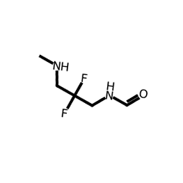 CNCC(F)(F)CNC=O